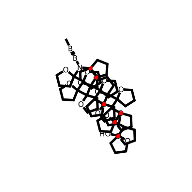 CB=BN(C1CCCO1)C1(C2(C3(C4(C5(C6(C7(C8(C9(C%10(C%11(C%12(C%13(C%14(C%15(O)CCCO%15)CCCO%14)CCCO%13)CCCO%12)CCCO%11)CCCO%10)CCCO9)CCCO8)CCCO7)CCCO6)CCCO5)CCCO4)CCCO3)CCCO2)CCCO1